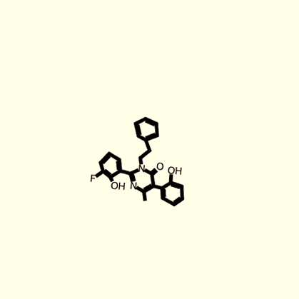 Cc1nc(-c2cccc(F)c2O)n(CCc2ccccc2)c(=O)c1-c1ccccc1O